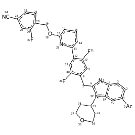 CC(=O)c1ccc2nc(Cc3cc(F)c(-c4cccc(OCc5ccc(C#N)cc5F)n4)cc3F)n(C3CCOCC3)c2c1